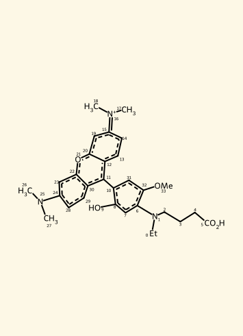 CCN(CCCC(=O)O)c1cc(O)c(-c2c3ccc(=[N+](C)C)cc-3oc3cc(N(C)C)ccc23)cc1OC